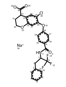 O=C(NC(Cc1ccccc1)C(F)(F)F)c1ccc(Oc2cc3c(cc2Cl)C(C(=O)[O-])CCO3)cc1.[Na+]